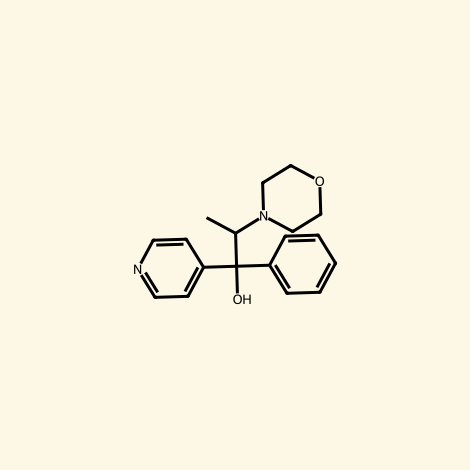 CC(N1CCOCC1)C(O)(c1ccccc1)c1ccncc1